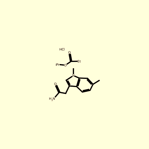 CCC(=O)OC(C)C.Cc1ccc2c(CC(N)=O)cn(C)c2c1.Cl